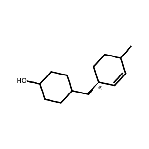 CC1C=C[C@@H](CC2CCC(O)CC2)CC1